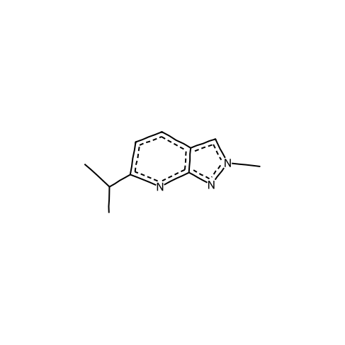 CC(C)c1ccc2cn(C)nc2n1